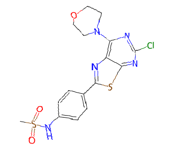 CS(=O)(=O)Nc1ccc(-c2nc3c(N4CCOCC4)nc(Cl)nc3s2)cc1